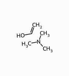 C=CO.CN(C)C